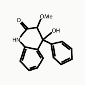 COC1C(=O)Nc2ccccc2C1(O)c1ccccc1